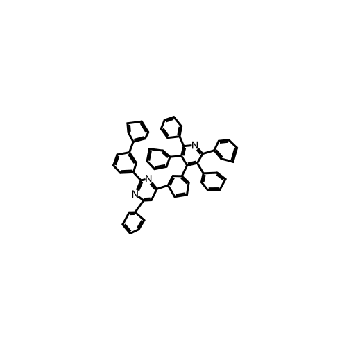 c1ccc(-c2cccc(-c3nc(-c4ccccc4)cc(-c4cccc(-c5c(-c6ccccc6)c(-c6ccccc6)nc(-c6ccccc6)c5-c5ccccc5)c4)n3)c2)cc1